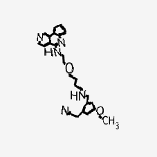 CCOc1cc(CC#N)cc(CNCCCCOCCNc2nc3ccccc3c3cnccc23)c1